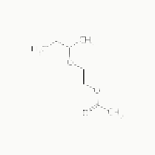 CCC(C)OCCOC(C)=O